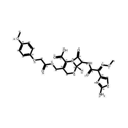 CON=C(C(=O)NC1C(=O)N2C(C(=O)O)=C(COC(=O)COc3ccc(OC)cc3)CS[C@@H]12)c1csc(N)n1